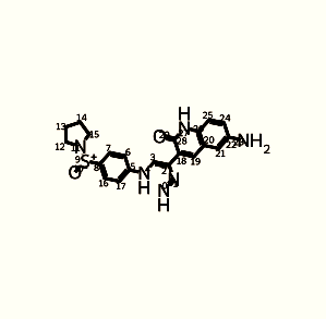 N=N/C(=C\Nc1ccc([S+]([O-])N2CCCC2)cc1)c1cc2cc(N)ccc2[nH]c1=O